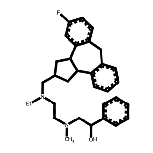 CCN(CCN(C)CC(O)c1ccccc1)CC1CC2c3ccccc3Cc3ccc(F)cc3C2C1